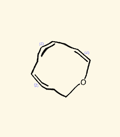 C1=C\C=C/OC\C=C/1